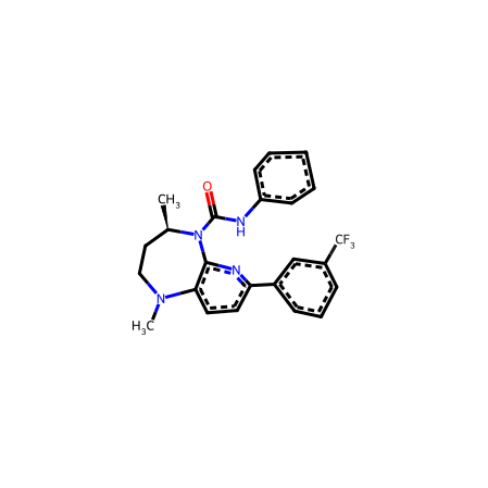 C[C@@H]1CCN(C)c2ccc(-c3cccc(C(F)(F)F)c3)nc2N1C(=O)Nc1ccccc1